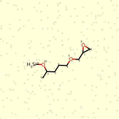 CC(CCCOCC1CO1)O[SiH3]